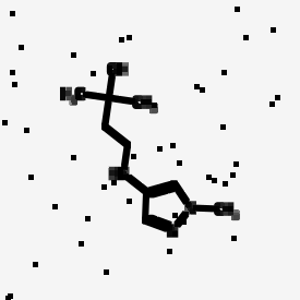 Cn1cc(NCCC(C)(C)O)cn1